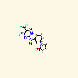 O=C1CCCN1c1cccc(Nc2ncc(C(F)F)c(F)n2)c1